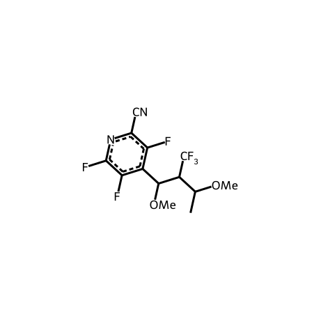 COC(C)C(C(OC)c1c(F)c(F)nc(C#N)c1F)C(F)(F)F